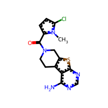 Cn1c(Cl)ccc1C(=O)N1CCc2c(sc3ncnc(N)c23)C1